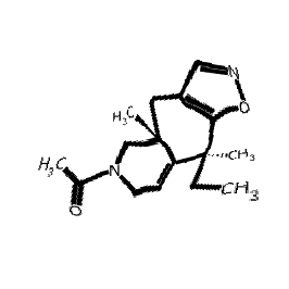 CC[C@@]1(C)C2=CCN(C(C)=O)C[C@]2(C)Cc2cnoc21